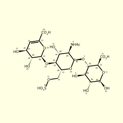 CC(=O)N[C@H]1[C@@H](O[C@H]2[C@H](O)[C@@H](O)[C@H](O)O[C@@H]2C(=O)O)O[C@H](COS(=O)(=O)O)[C@@H](O[C@@H]2OC(C(=O)O)=C[C@H](O)[C@H]2O)[C@@H]1O